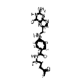 CC(=O)CC[C@@H](C)NC(=O)c1ccc(NCc2cnc3nc(N)[nH]c(=O)c3n2)cc1